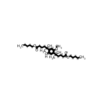 CCCCCOC(=O)CCCC(C)(C)c1cc(OC)c(C(C)(C)CCCC(=O)OCCCCC)cc1O